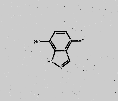 N#Cc1ccc(F)c2cn[nH]c12